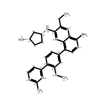 CCc1nc2c(N)ncc(-c3ccc(-c4ccnc(C)n4)c(OC)c3)c2nc1N[C@@H]1CC[C@H](O)C1